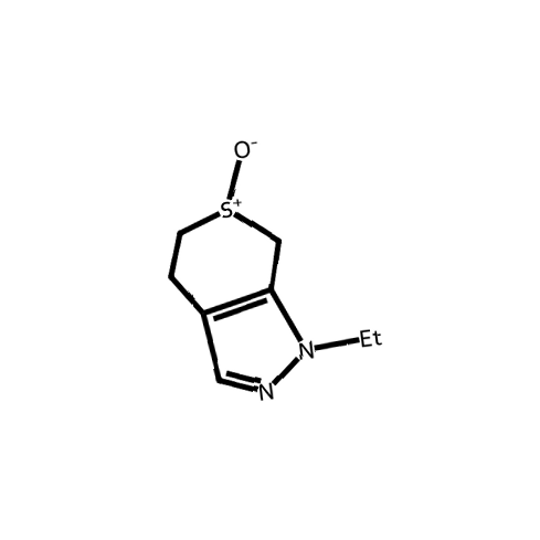 CCn1ncc2c1C[S+]([O-])CC2